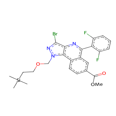 COC(=O)c1ccc2c(c1)c(-c1c(F)cccc1F)nc1c(Br)nn(COCC[Si](C)(C)C)c12